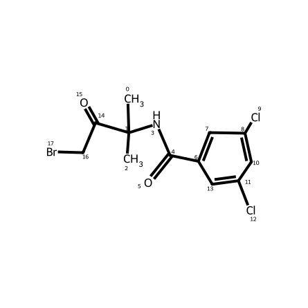 CC(C)(NC(=O)c1cc(Cl)cc(Cl)c1)C(=O)CBr